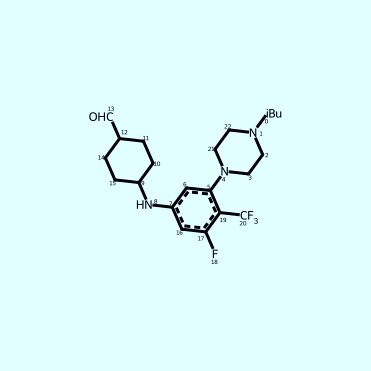 CCC(C)N1CCN(c2cc(NC3CCC(C=O)CC3)cc(F)c2C(F)(F)F)CC1